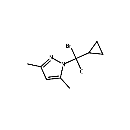 Cc1cc(C)n(C(Cl)(Br)C2CC2)n1